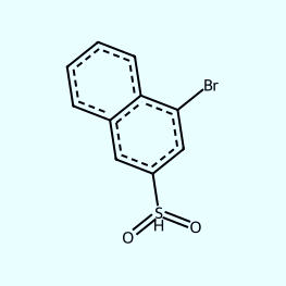 O=[SH](=O)c1cc(Br)c2ccccc2c1